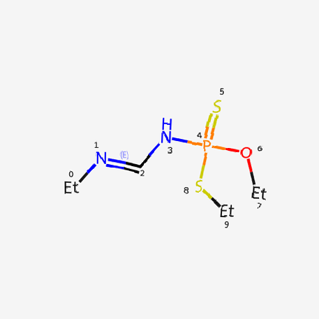 CC/N=C/NP(=S)(OCC)SCC